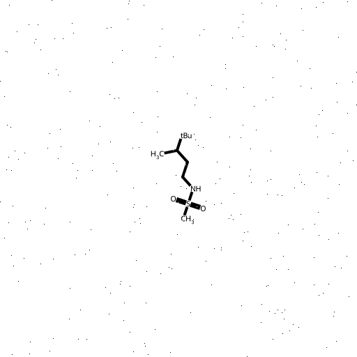 CC(CCNS(C)(=O)=O)C(C)(C)C